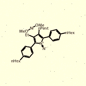 CCCCCCc1ccc(C2=C(CC)C(CCCCC)=C(c3ccc(CCCCCC)cc3)[N+]2=[N-])cc1.C[O][Ni][O]C